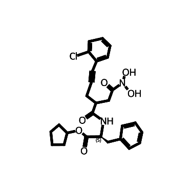 O=C(N[C@@H](Cc1ccccc1)C(=O)OC1CCCC1)C(CC#Cc1ccccc1Cl)CC(=O)N(O)O